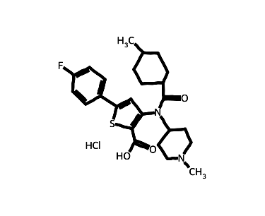 CC1CCC(C(=O)N(c2cc(-c3ccc(F)cc3)sc2C(=O)O)C2CCN(C)CC2)CC1.Cl